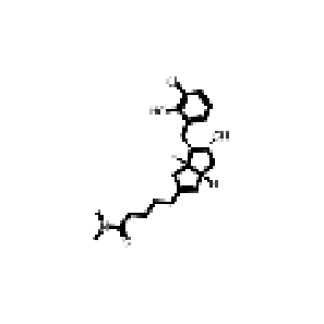 CN(C)C(=O)CCCCC1=C[C@H]2C[C@@H](O)[C@H](Cc3cccc(Cl)c3O)[C@H]2C1